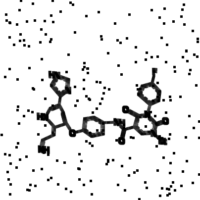 CCn1cc(C(=O)Nc2ccc(OC3=CC(c4c[nH]cn4)=CN/C3=C\C=N)cc2)c(=O)n(-c2ccc(F)cc2)c1=O